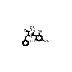 COC(=O)[C@H](Cc1ccccc1)NC(=O)c1c(O)cc(C)cc1O